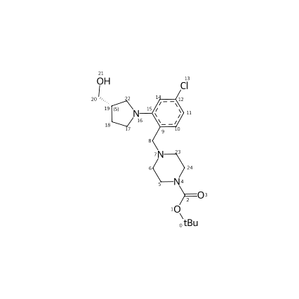 CC(C)(C)OC(=O)N1CCN(Cc2ccc(Cl)cc2N2CC[C@H](CO)C2)CC1